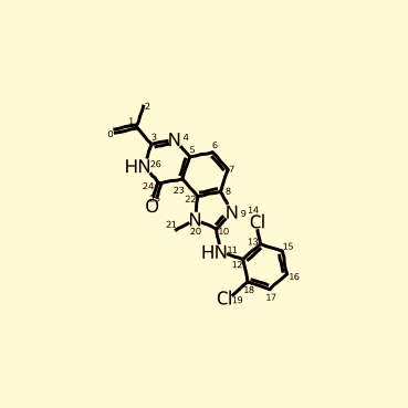 C=C(C)c1nc2ccc3nc(Nc4c(Cl)cccc4Cl)n(C)c3c2c(=O)[nH]1